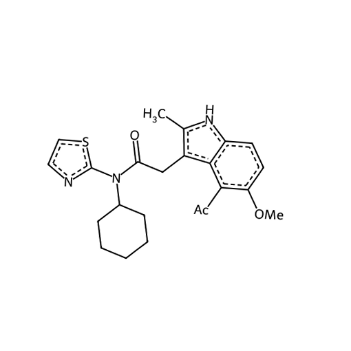 COc1ccc2[nH]c(C)c(CC(=O)N(c3nccs3)C3CCCCC3)c2c1C(C)=O